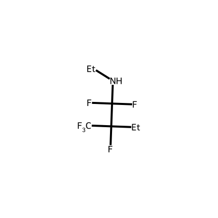 CCNC(F)(F)C(F)(CC)C(F)(F)F